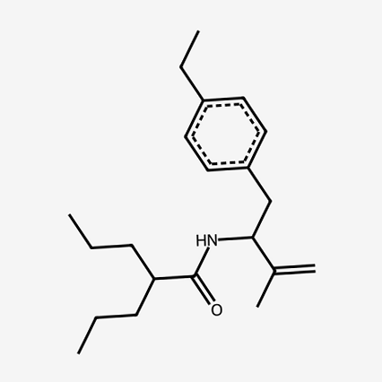 C=C(C)C(Cc1ccc(CC)cc1)NC(=O)C(CCC)CCC